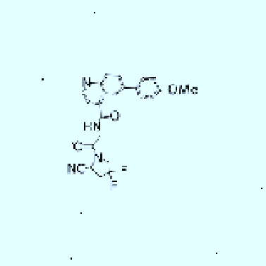 COc1ccc(-c2ccc3nccc(C(=O)NCC(=O)N4CC(F)(F)C[C@H]4C#N)c3c2)cc1